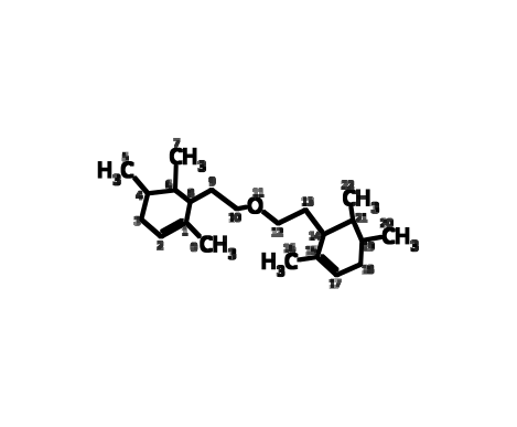 CC1=CCC(C)C(C)C1CCOCCC1C(C)=CCC(C)C1C